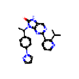 CC(C)c1ncccc1-c1ncc2[nH]c(=O)n(C(C)c3ccc(-n4cccn4)cc3)c2n1